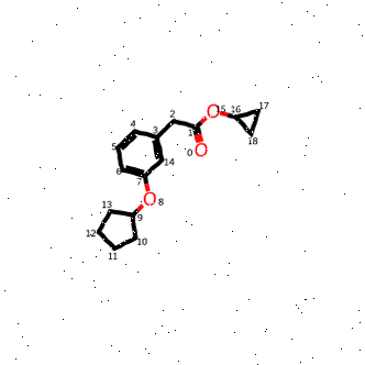 O=C(Cc1cccc(OC2CCCC2)c1)OC1CC1